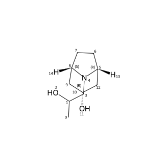 CC(O)CN1[C@@H]2CC[C@H]1C[C@@H](O)C2